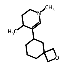 CC1CCN(C)C=C1C1CCCC2(COC2)C1